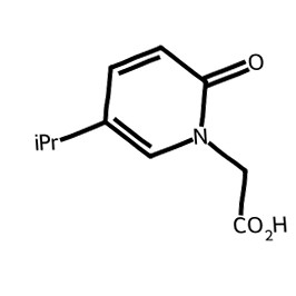 CC(C)c1ccc(=O)n(CC(=O)O)c1